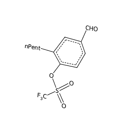 CCCCCc1cc(C=O)ccc1OS(=O)(=O)C(F)(F)F